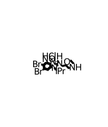 CC(C)n1c(NCC2CNCCO2)nc2c([N+](=O)[O-])c(Br)c(Br)cc21.Cl